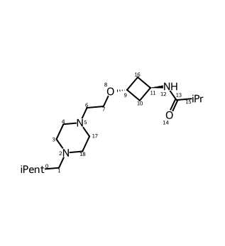 CCCC(C)CN1CCN(CCO[C@H]2C[C@H](NC(=O)C(C)C)C2)CC1